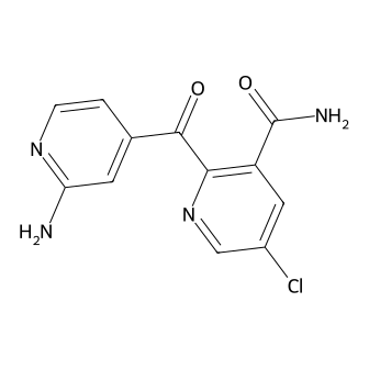 NC(=O)c1cc(Cl)cnc1C(=O)c1ccnc(N)c1